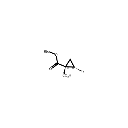 CC[C@H]1C[C@@]1(C(=O)O)C(=O)OC(C)(C)C